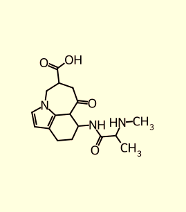 CNC(C)C(=O)NC1CCc2ccn3c2C1C(=O)CC(C(=O)O)C3